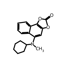 CN(c1cc2oc(=O)oc2c2ccccc12)C1CCCCC1